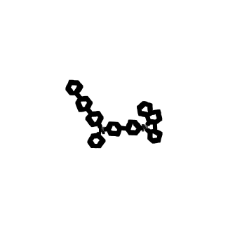 c1ccc(-c2ccc(-c3ccc(N(c4ccccc4)c4ccc(-c5ccc(-n6c7ccccc7c7ccc8ccccc8c76)cc5)cc4)cc3)cc2)cc1